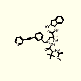 C=C(N[C@H](C(=O)NN(Cc1cccc(C#Cc2cccnc2)c1)C[C@](C)(O)C(=O)N[C@H]1c2ccccc2C[C@H]1O)C(C)(C)C)OC